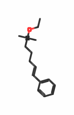 CCO[Si](C)(C)CCCC=Cc1ccccc1